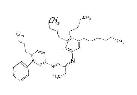 CCCCCCc1cc(N=C(C=Nc2ccc(CCCC)c(-c3ccccc3)c2)CC)cc(CCCC)c1CCCC